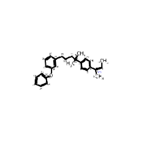 C/C=C(/C)c1ccc(C(C)(C)CCCc2cccc(Oc3ccccc3)c2)cc1